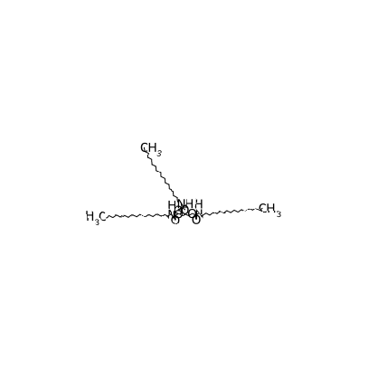 CCCCCCCCCCCCCCCCCCNC(=O)OCC(COC(=O)NCCCCCCCCCCCCCCCCCC)OC(=O)NCCCCCCCCCCCCCCCCCC